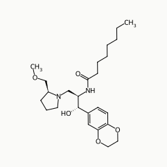 CCCCCCCC(=O)N[C@H](CN1CCC[C@H]1COC)[C@@H](O)c1ccc2c(c1)OCCO2